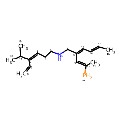 C=C/C(=C\CCNCC(/C=C(\C)P)=C/C=C/C)C(C)C